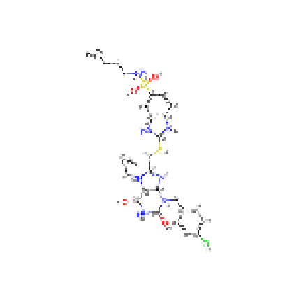 CCCCNS(=O)(=O)c1ccc2nc(SCc3nc4c(c(=O)[nH]c(=O)n4Cc4ccc(Cl)cc4)n3CC)[nH]c2c1